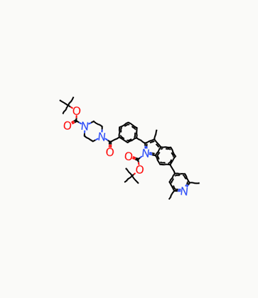 Cc1cc(-c2ccc3c(C)c(-c4cccc(C(=O)N5CCN(C(=O)OC(C)(C)C)CC5)c4)n(C(=O)OC(C)(C)C)c3c2)cc(C)n1